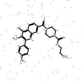 CCCOC(=O)N1CCN(C(=O)c2ccc3c(Cl)c(C)c(-c4ccc(C)cc4)nc3c2)CC1